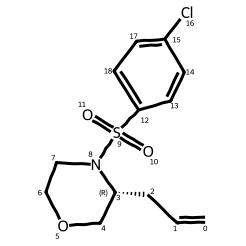 C=CC[C@@H]1COCCN1S(=O)(=O)c1ccc(Cl)cc1